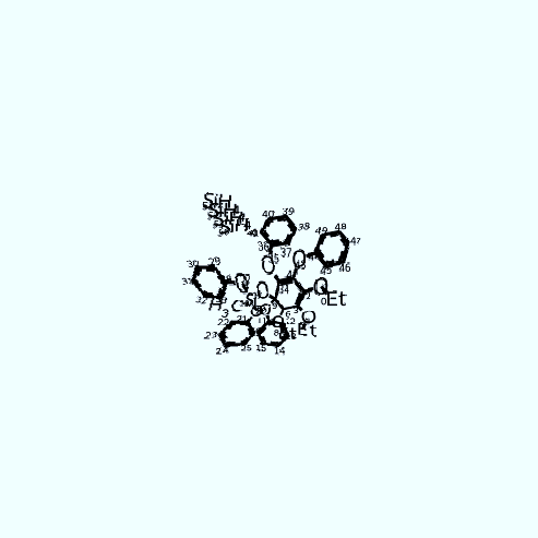 CCOC1=C(OCC)C(OCC)C(Oc2ccccc2)(O[Si](C)(Oc2ccccc2)Oc2ccccc2)C(Oc2ccccc2)=C1Oc1ccccc1.[SiH4].[SiH4].[SiH4].[SiH4]